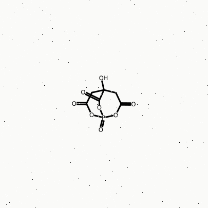 O=C1CC2(O)CC(=O)OP(=O)(O1)OC2=O